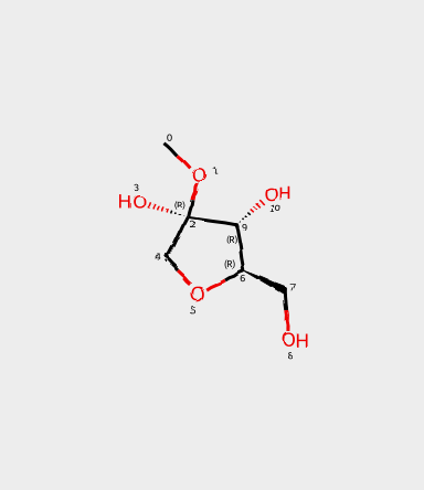 CO[C@]1(O)[CH]O[C@H](CO)[C@H]1O